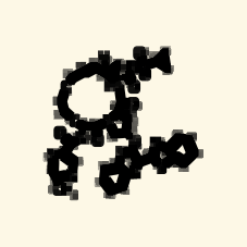 Cc1cnc(C(=O)N[C@H]2CCCCCC=C[C@@H]3C[C@@]3(C(=O)NS(=O)(=O)C3CC3)NC(=O)[C@@H]3C[C@@H](Oc4nc5ccccc5nc4-c4nc5ccccc5s4)CN3C2=O)cn1